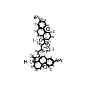 CC(C)c1ccc2c(c1)CCC1C(C)(C(=O)OCC(O)CC(OO)C3(C)CCCC4(C)c5ccc(C(C)C)cc5CCC43)CCCC21C